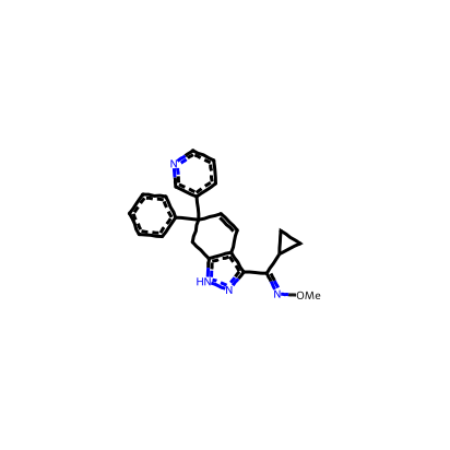 CO/N=C(/c1n[nH]c2c1C=CC(c1ccccc1)(c1cccnc1)C2)C1CC1